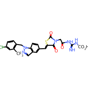 N=C(NC(=O)O)NC(=O)CN1C(=O)S/C(=C\c2ccc3c(cnn3Cc3ccc(Cl)cc3C(F)(F)F)c2)C1=O